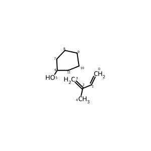 C=CC(=C)C.OC1CCCCC1